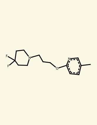 Cc1ccc(OCCCN2CCC(F)(F)CC2)nc1